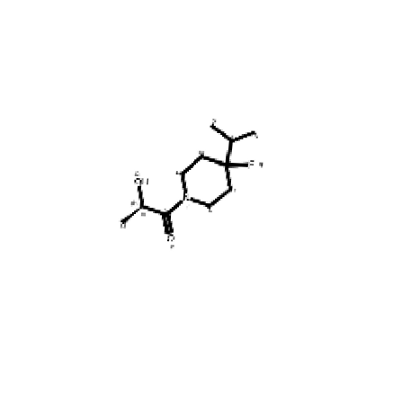 CC(C)C1(F)CCN(C(=O)[C@@H](C)O)CC1